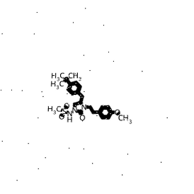 COc1ccc(CCN2C(=O)N(NS(C)(=O)=O)CC2Cc2ccc(C(C)(C)C)cc2)cc1